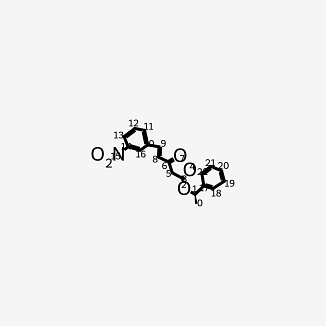 C[C@@H](OC(=O)CC(=O)C=Cc1cccc([N+](=O)[O-])c1)c1ccccc1